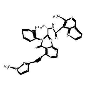 C[C@H](NC(=O)c1c(N)ncc2cccnc12)c1nc2cccc(C#Cc3ccn(C)n3)c2c(=O)n1-c1ccccc1